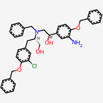 Nc1cc([C@@H](O)CN(Cc2ccccc2)[C@H](CO)Cc2ccc(OCc3ccccc3)c(Cl)c2)ccc1OCc1ccccc1